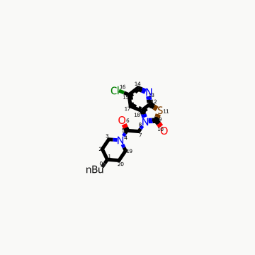 CCCCC1CCN(C(=O)Cn2c(=O)sc3ncc(Cl)cc32)CC1